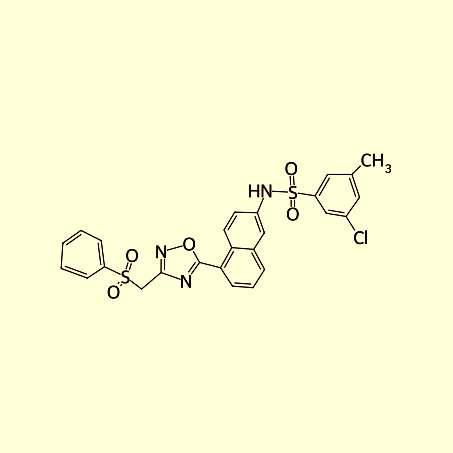 Cc1cc(Cl)cc(S(=O)(=O)Nc2ccc3c(-c4nc(CS(=O)(=O)c5ccccc5)no4)cccc3c2)c1